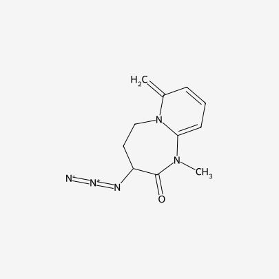 C=C1C=CC=C2N(C)C(=O)C(N=[N+]=[N-])CCN12